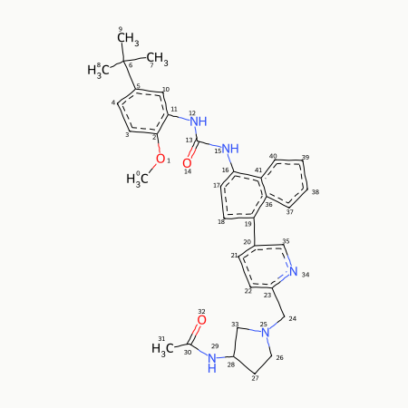 COc1ccc(C(C)(C)C)cc1NC(=O)Nc1ccc(-c2ccc(CN3CCC(NC(C)=O)C3)nc2)c2ccccc12